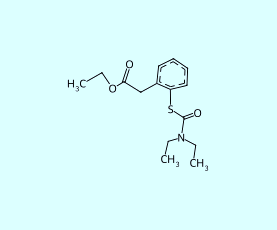 CCOC(=O)Cc1ccccc1SC(=O)N(CC)CC